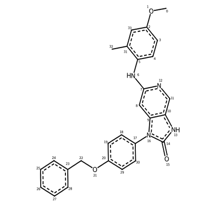 COc1ccc(Nc2cc3c(cn2)[nH]c(=O)n3-c2ccc(OCc3ccccc3)cc2)c(C)c1